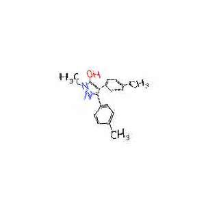 CCn1nc(-c2ccc(C)cc2)c(-c2ccc(C)cc2)c1O